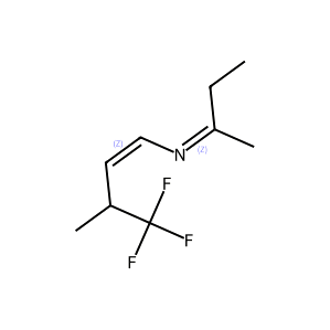 CC/C(C)=N\C=C/C(C)C(F)(F)F